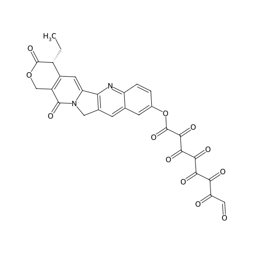 CC[C@H]1C(=O)OCc2c1cc1n(c2=O)Cc2cc3cc(OC(=O)C(=O)C(=O)C(=O)C(=O)C(=O)C(=O)C=O)ccc3nc2-1